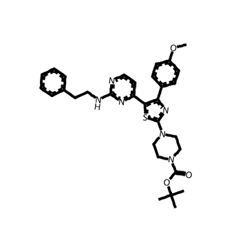 COc1ccc(-c2nc(N3CCN(C(=O)OC(C)(C)C)CC3)sc2-c2ccnc(NCCc3ccccc3)n2)cc1